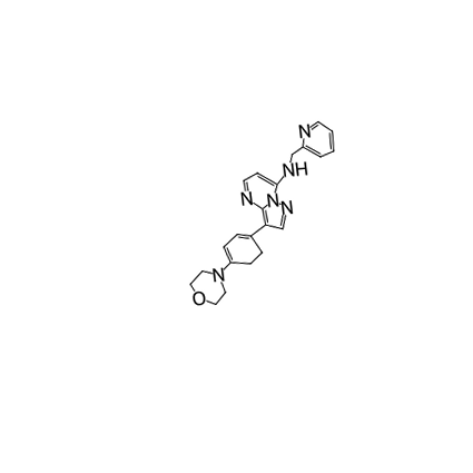 C1=C(c2cnn3c(NCc4ccccn4)ccnc23)CCC(N2CCOCC2)=C1